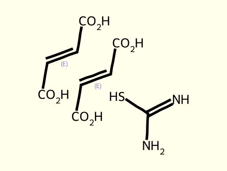 N=C(N)S.O=C(O)/C=C/C(=O)O.O=C(O)/C=C/C(=O)O